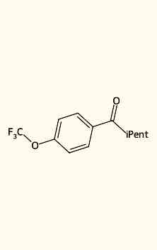 CCCC(C)C(=O)c1ccc(OC(F)(F)F)cc1